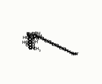 COc1cccc2c1C(=O)c1c(O)c3c(c(O)c1C2=O)C[C@@](O)(C(=O)CO)C[C@@H]3OC1C[C@H](NC(=O)CCOCCOCCOCCOCCOCCOCCOCCCCCCN=[N+]=[N-])[C@H](O)[C@@H](C)O1